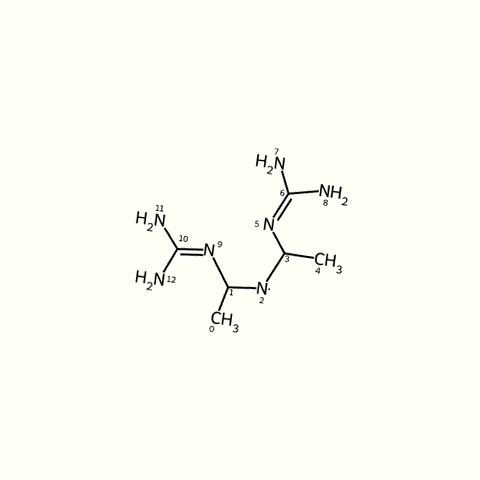 CC([N]C(C)N=C(N)N)N=C(N)N